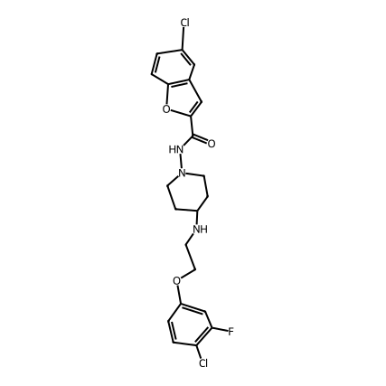 O=C(NN1CCC(NCCOc2ccc(Cl)c(F)c2)CC1)c1cc2cc(Cl)ccc2o1